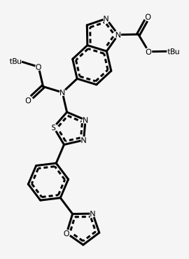 CC(C)(C)OC(=O)N(c1ccc2c(cnn2C(=O)OC(C)(C)C)c1)c1nnc(-c2cccc(-c3ncco3)c2)s1